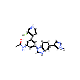 CC(=O)Nc1cc(-c2ccncc2F)cc(-n2cnc3cc(-c4cnn(C)c4)ccc32)c1